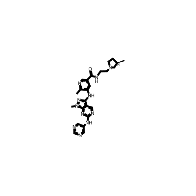 Cc1ncc(C(=O)NCCN2CC[C@@H](C)C2)cc1Nc1nn(C)c2nc(Nc3cncnc3)ncc12